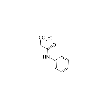 CCOC(=O)CC(=O)Nc1[c]cccc1